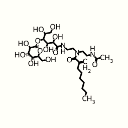 C=C(CCCCCCC)C(=O)N(CCNC(C)=O)CCNC(=O)C(O)C(O)C(O[C@@H]1OC(CO)[C@H](O)[C@H](O)C1O)C(O)CO